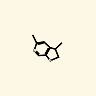 Cc1cc2c(cn1)SCC2C